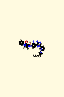 COC1CN(c2cccc(-c3cnc(N)c(-c4ccc(NC(=O)c5c(C)n(C)n(-c6ccccc6)c5=O)cc4)n3)n2)C1